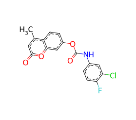 Cc1cc(=O)oc2cc(OC(=O)Nc3ccc(F)c(Cl)c3)ccc12